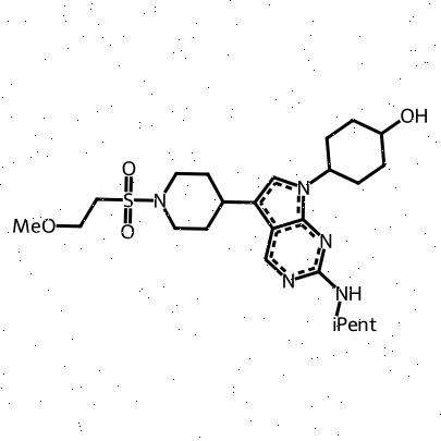 CCCC(C)Nc1ncc2c(C3CCN(S(=O)(=O)CCOC)CC3)cn(C3CCC(O)CC3)c2n1